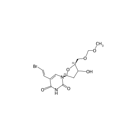 COCOC[C@@H]1O[C@H](n2cc(C=CBr)c(=O)[nH]c2=O)CC1O